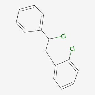 Clc1ccccc1[CH]C(Cl)c1ccccc1